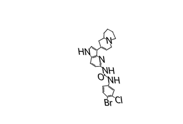 O=C(Nc1ccc(Br)c(Cl)c1)Nc1ccc2[nH]cc(C3=CCN4CCCCC4C3)c2n1